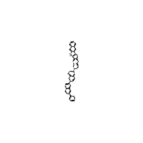 c1ccc(-c2ccc3ccc(-c4ccc5cc(-c6ccc7cc8sc9c%10cc%11ccccc%11cc%10sc9c8cc7c6)ccc5c4)cc3c2)cc1